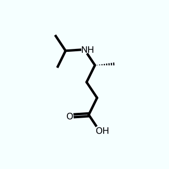 CC(C)N[C@H](C)CCC(=O)O